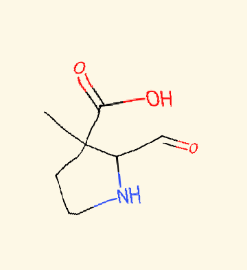 CC1(C(=O)O)CCNC1C=O